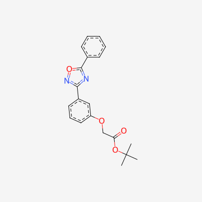 CC(C)(C)OC(=O)COc1cccc(-c2noc(-c3ccccc3)n2)c1